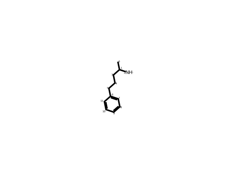 CC([NH])CCCc1ccccc1